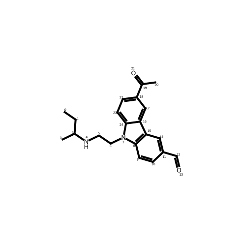 CCC(C)NCCn1c2ccc(C=O)cc2c2cc(C(C)=O)ccc21